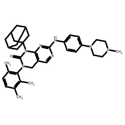 Cc1ccc(C)c(N2Cc3cnc(Nc4ccc(N5CCN(C)CC5)cc4)nc3N(C34CC5CC(CC(C5)C3)C4)C2=O)c1C